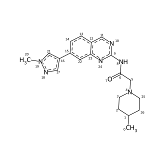 CC1CCN(CC(=O)Nc2ncc3ccc(-c4cnn(C)c4)cc3n2)CC1